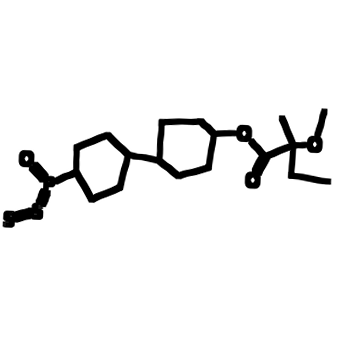 CCC(C)(OC)C(=O)OC1CCC(C2CCC(P(=O)=S=S)CC2)CC1